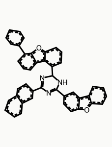 c1ccc(-c2cccc3c2oc2cccc(C4N=C(c5ccc6ccccc6c5)N=C(c5ccc6oc7ccccc7c6c5)N4)c23)cc1